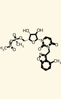 Cc1cccc2onc(Cn3c(=O)ccn([C@@H]4O[C@H](COP(C)(=O)O[PH](C)=O)[C@H](O)C4O)c3=O)c12